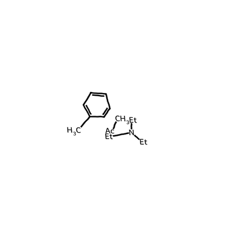 CC(C)=O.CCN(CC)CC.Cc1ccccc1